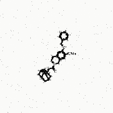 COc1cc2c(cc1OCc1ccccc1)CCN(C(=O)CC13CC4CC(CC(C4)C1)C3)C2